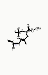 C=C/C(Br)=C\C1=C(C)CN(C(=O)OC(C)(C)C)CC(C)(C)O1